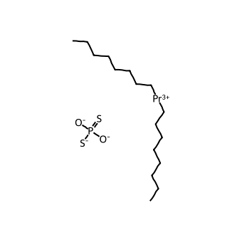 CCCCCCC[CH2][Pr+3][CH2]CCCCCCC.[O-]P([O-])(=S)[S-]